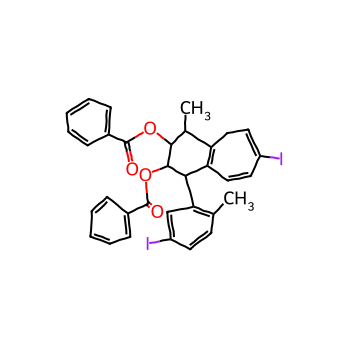 Cc1ccc(I)cc1C1C2=C(CC=C(I)C=C2)C(C)C(OC(=O)c2ccccc2)C1OC(=O)c1ccccc1